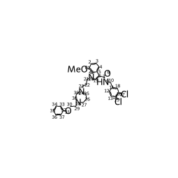 COc1cccc2c(C(=O)NCc3ccc(Cl)c(Cl)c3)cn(CCCN3CCCN(CCOc4ccccc4)CC3)c12